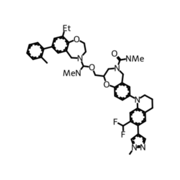 CCc1cc(-c2ccccc2C)cc2c1OCCN(C(NC)OCC1CN(C(=O)NC)Cc3cc(N4CCCc5cc(-c6cnn(C)c6)c(C(F)F)cc54)ccc3O1)C2